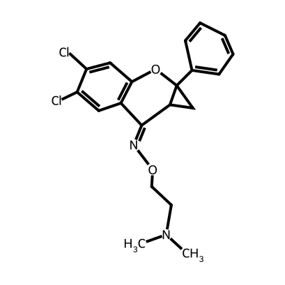 CN(C)CCON=C1c2cc(Cl)c(Cl)cc2OC2(c3ccccc3)CC12